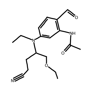 CCOCC(CCC#N)N(CC)c1ccc(C=O)c(NC(C)=O)c1